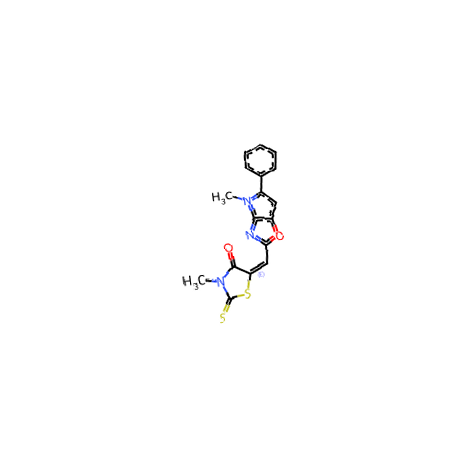 CN1C(=O)/C(=C\c2nc3c(cc(-c4ccccc4)n3C)o2)SC1=S